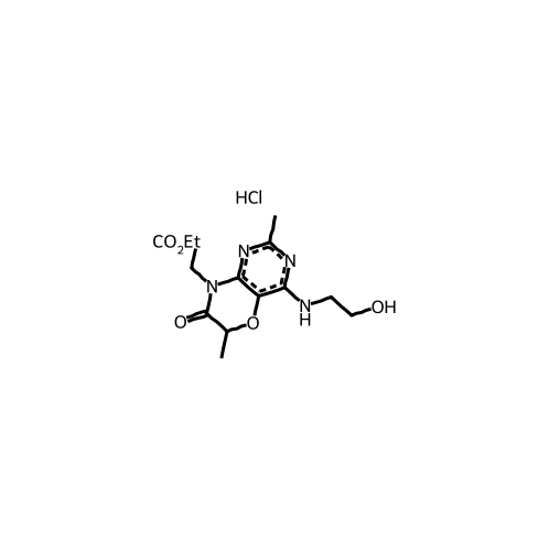 CCOC(=O)CN1C(=O)C(C)Oc2c(NCCO)nc(C)nc21.Cl